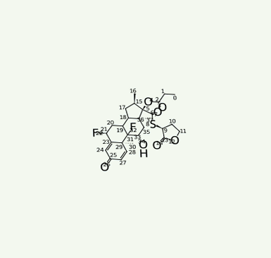 CCC(=O)O[C@]1(C(=O)S[C@H]2CCOC2=O)[C@H](C)CC2C3C[C@H](F)C4=CC(=O)C=C[C@]4(C)C3(F)[C@@H](O)C[C@@]21C